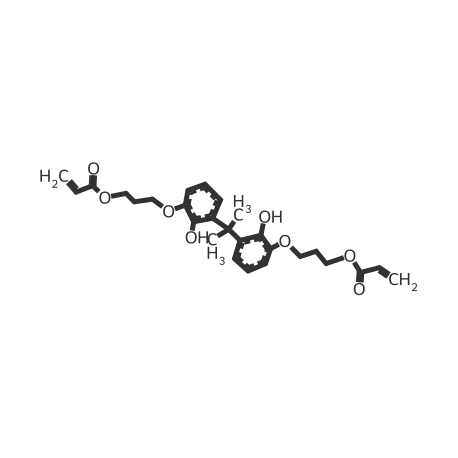 C=CC(=O)OCCCOc1cccc(C(C)(C)c2cccc(OCCCOC(=O)C=C)c2O)c1O